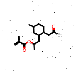 C=C(C)C(=O)OC(C)CC1CC(C)CCC1CC(=O)CC